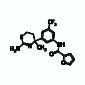 CC1(c2cc(NC(=O)c3ccco3)cc(C(F)(F)F)c2)CCSC(N)=N1